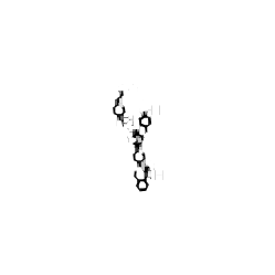 O=C(O)CCN1CCC(N=C=C=NC(=O)[C@@H](Cc2ccc(O)c(Br)c2)OC(=O)N2CCC(N3CCc4ccccc4NC3=O)CC2)CC1